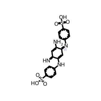 N=C1C=C(N)/C(=N\c2ccc(S(=O)(=O)O)cc2)C=C1Nc1ccc(S(=O)(=O)O)cc1